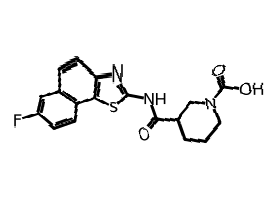 O=C(Nc1nc2ccc3cc(F)ccc3c2s1)C1CCCN(C(=O)O)C1